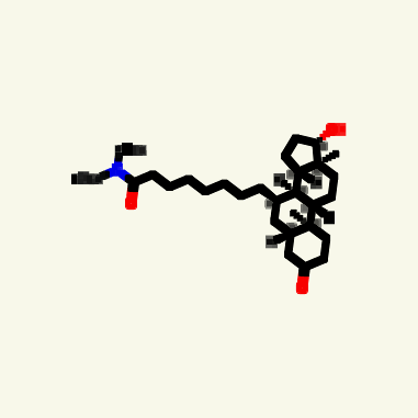 CCCCCCN(CCCCCC)C(=O)CCCCCCC[C@@H]1C[C@H]2CC(=O)CC[C@]2(C)[C@H]2CC[C@]3(C)[C@@H](O)CC[C@H]3[C@H]12